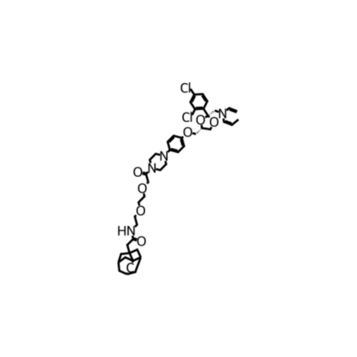 C=CN(/C=C\C)C[C@]1(c2ccc(Cl)cc2Cl)OC[C@H](COc2ccc(N3CCN(C(=O)COCCOCCNC(=O)CC45CC6CC7CC(C4)C5(C7)C6)CC3)cc2)O1